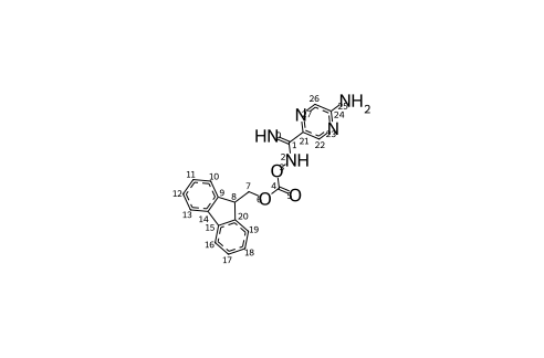 N=C(NOC(=O)OCC1c2ccccc2-c2ccccc21)c1cnc(N)cn1